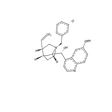 C=C[C@@H]1C[N@+]2(Cc3ccccc3)CC[C@H]1C[C@H]2[C@H](O)c1ccnc2ccc(OC)cc12.[Cl-]